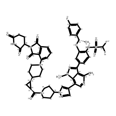 C[C@H](Oc1cc(-c2nn(C)c3c(-c4cnn(C5CCN(C(=O)[C@H]6C[C@H]6C6CCN(c7cccc8c7C(=O)N(C7CCC(=O)NC7=O)C8=O)CC6)CC5)c4)cnc(N)c23)ccc1NS(=O)(=O)C(F)F)c1ccc(F)cc1